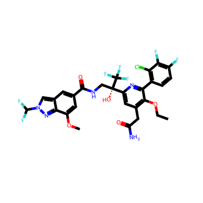 CCOc1c(CC(N)=O)cc([C@@](O)(CNC(=O)c2cc(OC)c3nn(C(F)F)cc3c2)C(F)(F)F)nc1-c1ccc(F)c(F)c1Cl